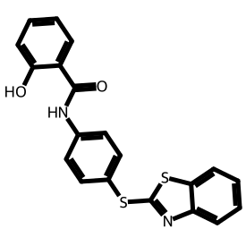 O=C(Nc1ccc(Sc2nc3ccccc3s2)cc1)c1ccccc1O